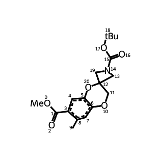 COC(=O)c1cc2c(cc1C)OCC1(CN(C(=O)OC(C)(C)C)C1)O2